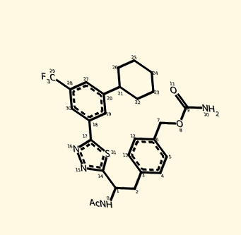 CC(=O)NC(Cc1ccc(COC(N)=O)cc1)c1nnc(-c2cc(C3CCCCC3)cc(C(F)(F)F)c2)s1